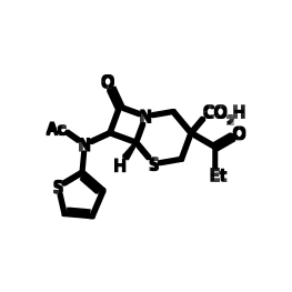 CCC(=O)C1(C(=O)O)CS[C@@H]2C(N(C(C)=O)c3cccs3)C(=O)N2C1